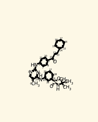 Cc1cnc(Nc2ccc(C(=O)C=Cc3ccccc3)cc2)nc1Nc1cccc(S(=O)(=O)NC(C)(C)C)c1